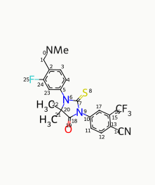 CNCc1ccc(N2C(=S)N(c3ccc(C#N)c(C(F)(F)F)c3)C(=O)C2(C)C)cc1F